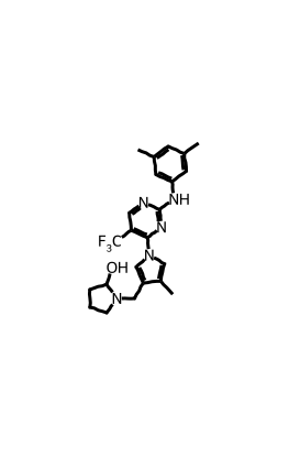 Cc1cc(C)cc(Nc2ncc(C(F)(F)F)c(-n3cc(C)c(CN4CCCC4O)c3)n2)c1